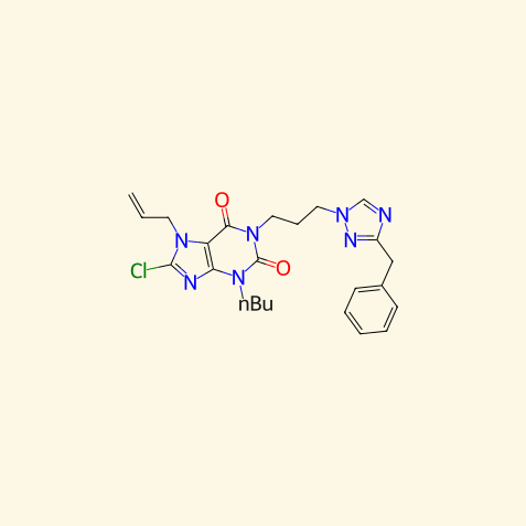 C=CCn1c(Cl)nc2c1c(=O)n(CCCn1cnc(Cc3ccccc3)n1)c(=O)n2CCCC